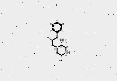 C[C@@H]1CN(C[C@H](C)[C@@H](N)c2ccccc2)CCN1